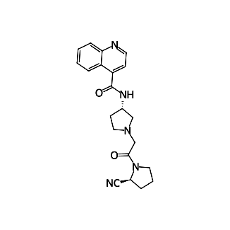 N#C[C@@H]1CCCN1C(=O)CN1CC[C@H](NC(=O)c2ccnc3ccccc23)C1